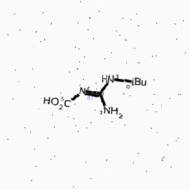 CCC(C)N/C(N)=N/C(=O)O